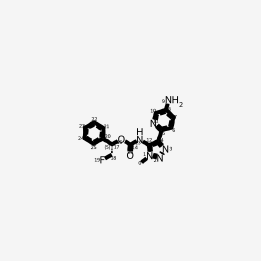 Cn1nnc(-c2ccc(N)cn2)c1NC(=O)O[C@H](CF)c1ccccc1